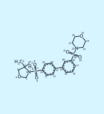 CC1(C)COCN1S(=O)(=O)c1ccc(-c2[c]ccc(S(=O)(=O)N3CCOCC3)c2)cc1